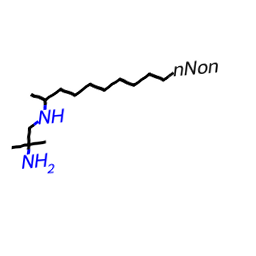 CCCCCCCCCCCCCCCCCC(C)NCC(C)(C)N